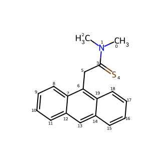 CN(C)C(=S)Cc1c2ccccc2cc2ccccc12